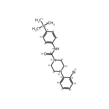 C[Si](C)(C)c1ccc(NC(=O)N2CCN(c3ccccc3Br)CC2)cc1